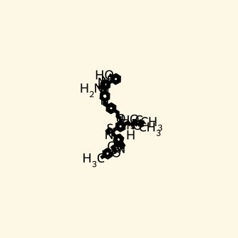 Cc1ccc(S(=O)(=O)n2ncc3ccc(-c4ncsc4-c4ccc(CNC(=O)OC(C)(C)C)c(OCCc5ccc(CN6CCN(c7cc(-c8ccccc8O)nnc7N)CC6)cc5)c4)cc32)cc1